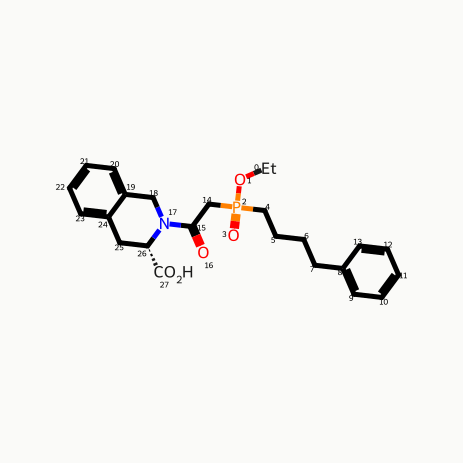 CCOP(=O)(CCCCc1ccccc1)CC(=O)N1Cc2ccccc2C[C@H]1C(=O)O